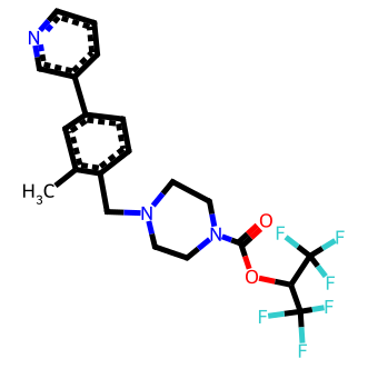 Cc1cc(-c2cccnc2)ccc1CN1CCN(C(=O)OC(C(F)(F)F)C(F)(F)F)CC1